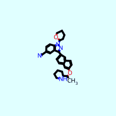 CC(Oc1ccc2cc(-c3nn(C4CCCCO4)c4ccc(C#N)cc34)ccc2c1)C1CCCCN1